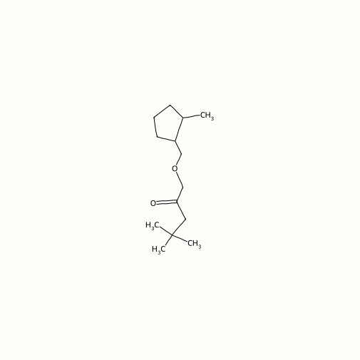 CC1CCCC1COCC(=O)CC(C)(C)C